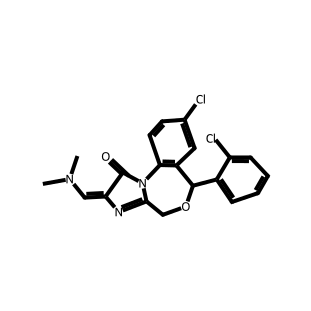 CN(C)C=C1N=C2COC(c3ccccc3Cl)c3cc(Cl)ccc3N2C1=O